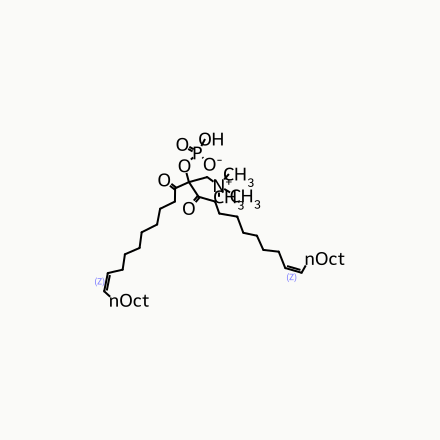 CCCCCCCC/C=C\CCCCCCCC(=O)C(C[N+](C)(C)C)(OP(=O)([O-])O)C(=O)CCCCCCC/C=C\CCCCCCCC